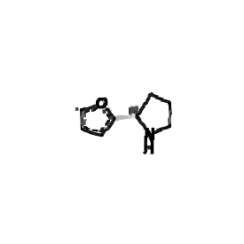 [c]1ccc([C@@H]2CCCN2)o1